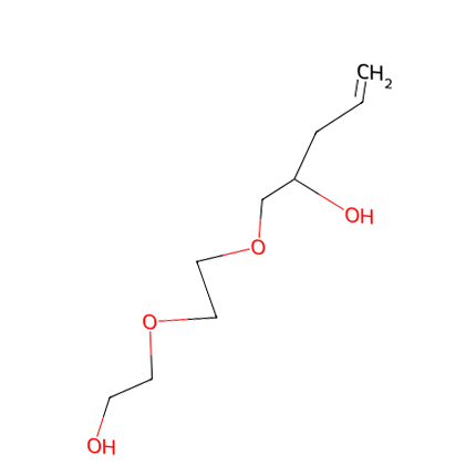 C=CCC(O)COCCOCCO